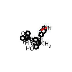 CN1CC[C@]23c4c5ccc(O)c4O[C@H]2[C@@H](O)C=C[C@H]3[C@H]1C5.c1cc2c3c(c1)OC1CCC[C@H]4[C@@H](C2)NCC[C@]314.c1ccc2c(c1)C[C@H]1NCC[C@@]23CCCC[C@@H]13